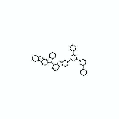 c1ccc(-c2cccc(-c3nc(-c4ccccc4)nc(-c4ccc5c(c4)oc4c(C6c7ccccc7-c7c6ccc6c7oc7ccccc76)cccc45)n3)c2)cc1